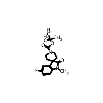 CN1C(=O)C2(CCN(C(=O)OC(C)(C)C)CC2)c2cc(F)ccc21